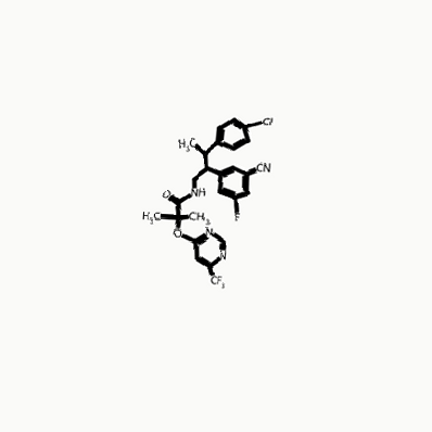 CC(c1ccc(Cl)cc1)C(CNC(=O)C(C)(C)Oc1cc(C(F)(F)F)ncn1)c1cc(F)cc(C#N)c1